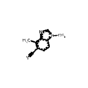 Cc1c(C#N)ccc2c1ncn2C